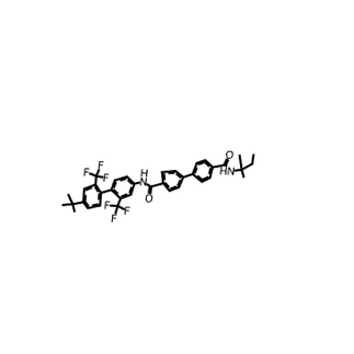 CCC(C)(C)NC(=O)c1ccc(-c2ccc(C(=O)Nc3ccc(-c4ccc(C(C)(C)C)cc4C(F)(F)F)c(C(F)(F)F)c3)cc2)cc1